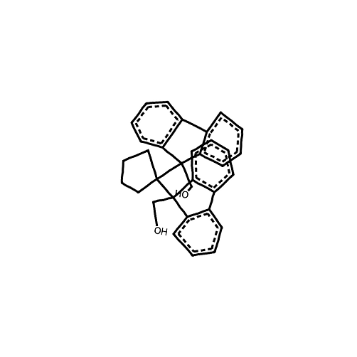 OCC1(C2(C3(CO)c4ccccc4-c4ccccc43)CCCC2)c2ccccc2-c2ccccc21